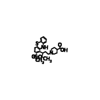 CCC(CCN1CCC(C(=O)O)CC1)c1c(S(C)(=O)=O)ccc2c1Nc1ccccc1S2